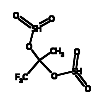 CC(O[SH](=O)=O)(O[SH](=O)=O)C(F)(F)F